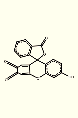 O=C1C=C2Oc3cc(O)ccc3C3(OC(=O)c4ccccc43)C2=CC1=O